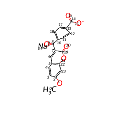 COc1ccc2cc(C(=O)c3ccc(C(=O)[O-])cc3)c(=O)oc2c1.[Na+]